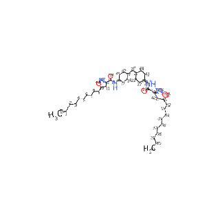 CCCCCCCCCCC1CC(C(=O)NC2CCC(CC3CCC(NC(=O)C4=NOC(CCCCCCCCCC)C4)CC3)CC2)=NO1